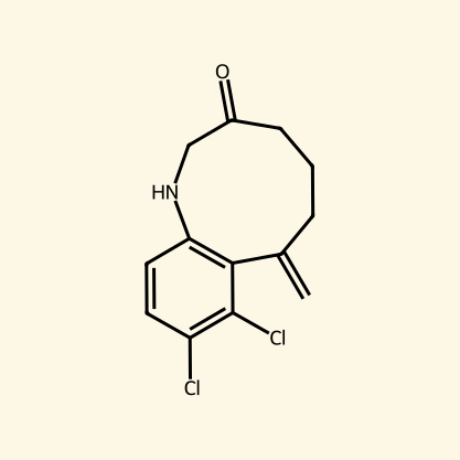 C=C1CCCC(=O)CNc2ccc(Cl)c(Cl)c21